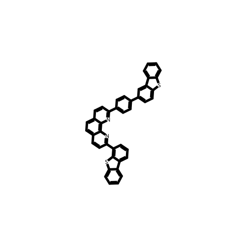 c1ccc2c(c1)sc1ccc(-c3ccc(-c4ccc5ccc6ccc(-c7cccc8c7sc7ccccc78)nc6c5n4)cc3)cc12